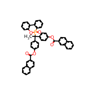 CC(c1ccc(OC(=O)c2ccc3ccccc3c2)cc1)(c1ccc(OC(=O)c2ccc3ccccc3c2)cc1)P1(=O)Oc2ccccc2-c2ccccc21